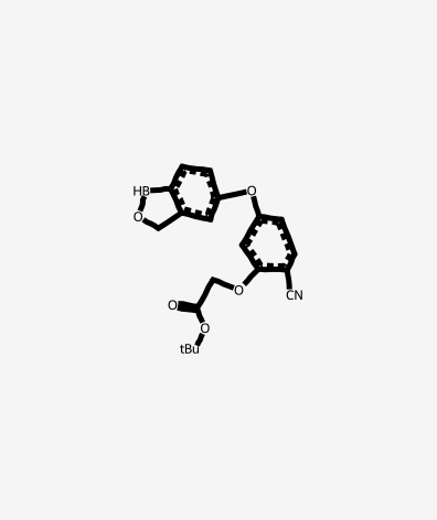 CC(C)(C)OC(=O)COc1cc(Oc2ccc3c(c2)COB3)ccc1C#N